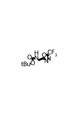 CC(C)(C)OC(=O)NCc1nnc(C(F)(F)F)o1